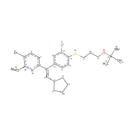 CCc1ccc(/C(=C/C2CCCC2)c2ccc(SCCCO[Si](C)(C)C(C)(C)C)c(Cl)c2)nc1OC